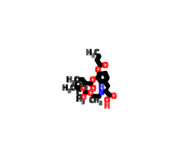 CCCC(=O)Oc1ccc(C[C@H](NCC(C)OC(=O)OC(C)(C)C)C(=O)O)cc1OC(=O)CCC